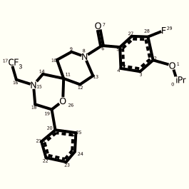 CC(C)Oc1ccc(C(=O)N2CCC3(CC2)CN(CC(F)(F)F)CC(c2ccccc2)O3)cc1F